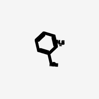 CCCCc1ccccc1.S